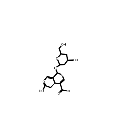 C/C=C1/C(OC2CC(O)CC(CO)O2)OC=C(C(=O)O)[C@H]1CC(=O)O